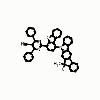 CC1(C)c2ccccc2-c2cc3c4ccccc4n(-c4ccc(-c5nc(-c6ccccc6)c(C#N)c(-c6ccccc6)n5)c5oc6ccccc6c45)c3cc21